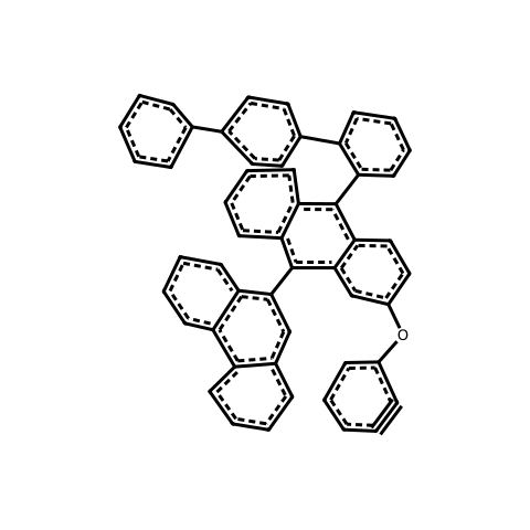 c1cccc(Oc2ccc3c(-c4ccccc4-c4ccc(-c5ccccc5)cc4)c4ccccc4c(-c4cc5ccccc5c5ccccc45)c3c2)c#1